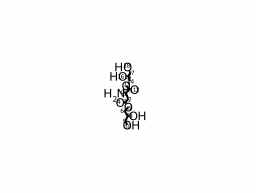 N[C@@H](CC(=O)OCC(O)CO)C(=O)OCC(O)CO